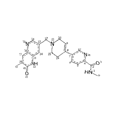 CNC(=O)c1ccc(C2=CCN(Cc3cnc4cc(C)c(=O)[nH]c4c3)CC2)cn1